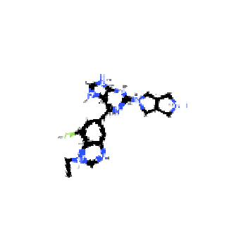 CCn1cnc2cc(-c3nc(N4CC5CNCC5C4)nc4[nH]cnc34)cc(F)c21